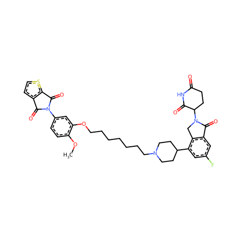 COc1ccc(N2C(=O)c3ccsc3C2=O)cc1OCCCCCCCN1CCC(c2cc(F)cc3c2CN(C2CCC(=O)NC2=O)C3=O)CC1